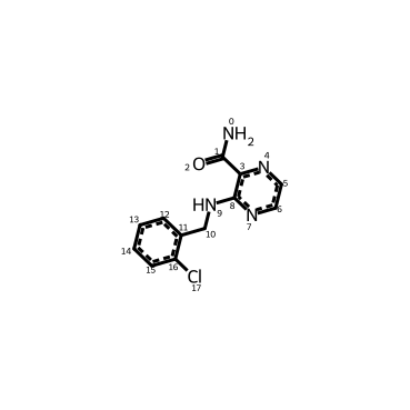 NC(=O)c1nccnc1NCc1ccccc1Cl